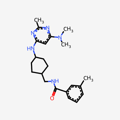 Cc1cccc(C(=O)NCC2CCC(Nc3cc(N(C)C)nc(C)n3)CC2)c1